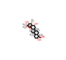 C[C@H]1[C@H](O)C(C)(C)CC2[C@@]13[C@H](O)C[C@]1(C)[C@@]2(CCC2[C@@]4(C)CC[C@H](O)[C@](C)(CO)C4CC[C@]21C)O[C@@H]3O